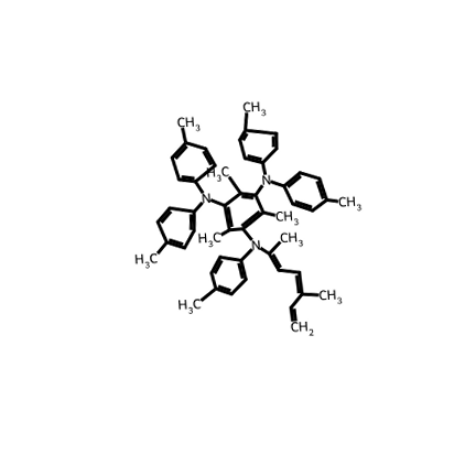 C=C/C(C)=C\C=C(/C)N(c1ccc(C)cc1)c1c(C)c(N(c2ccc(C)cc2)c2ccc(C)cc2)c(C)c(N(c2ccc(C)cc2)c2ccc(C)cc2)c1C